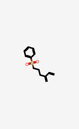 C=CC(=C)CCCS(=O)(=O)c1ccccc1